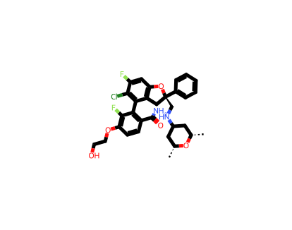 C[C@@H]1CC(NC[C@@]2(c3ccccc3)Cc3c(cc(F)c(Cl)c3-c3c(C(N)=O)ccc(OCCO)c3F)O2)C[C@H](C)O1